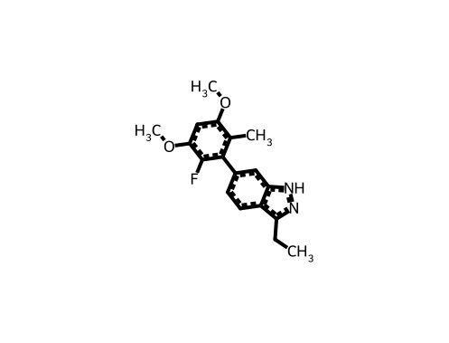 CCc1n[nH]c2cc(-c3c(C)c(OC)cc(OC)c3F)ccc12